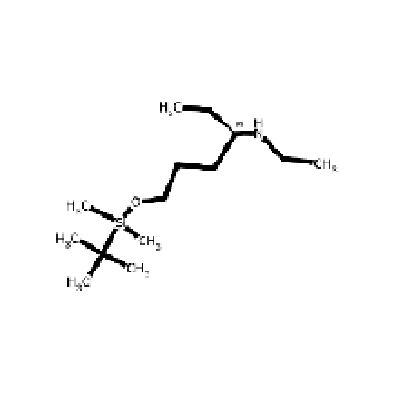 CCN[C@H](CC)CCCO[Si](C)(C)C(C)(C)C